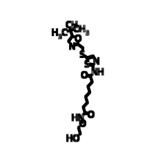 CC(C)(C)C1CN=C(CSc2cnc(NC(=O)CCCCCCC(=O)NOCCO)s2)O1